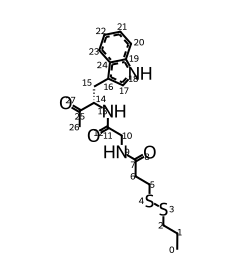 CCCSSCCC(=O)NCC(=O)N[C@@H](Cc1c[nH]c2ccccc12)C(C)=O